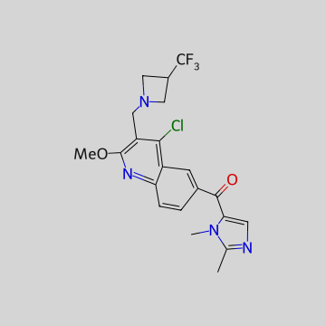 COc1nc2ccc(C(=O)c3cnc(C)n3C)cc2c(Cl)c1CN1CC(C(F)(F)F)C1